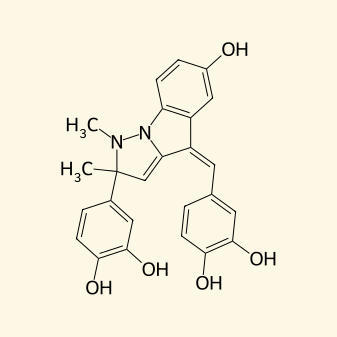 CN1n2c(/c(=C\c3ccc(O)c(O)c3)c3cc(O)ccc32)=CC1(C)c1ccc(O)c(O)c1